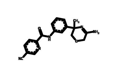 CC1(c2cccc(NC(=O)c3ccc(C#N)cn3)c2)COCC(N)=N1